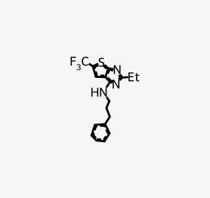 CCc1nc(NCCCc2ccccc2)c2cc(C(F)(F)F)sc2n1